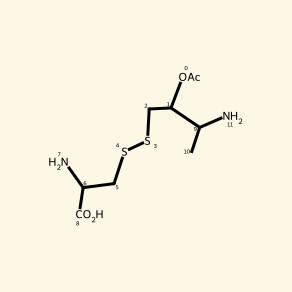 CC(=O)OC(CSSCC(N)C(=O)O)C(C)N